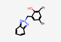 CC(C)c1cc(Cn2nc3ccccc3n2)c(O)c(C(C)C)c1